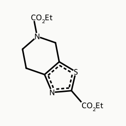 CCOC(=O)c1nc2c(s1)CN(C(=O)OCC)CC2